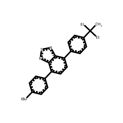 CCC(C)(CC)c1ccc(-c2ccc(-c3ccc(C(C)(C)C)cc3)c3nsnc23)cc1